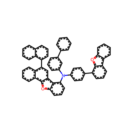 c1ccc(-c2cccc(N(c3ccc(-c4cccc5c4oc4ccccc45)cc3)c3cccc4oc5c6ccccc6c(-c6cccc7ccccc67)cc5c34)c2)cc1